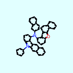 c1ccc(-n2c3cc4ccccc4cc3c3c(N(c4ccc5ccccc5c4)c4cccc5oc6c7ccccc7ccc6c45)cccc32)cc1